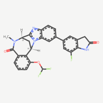 CN1C(=O)c2cccc(OC(F)F)c2[C@H]2C[C@@H]1c1nc3ccc(-c4cc(F)c5c(c4)CC(=O)N5)cc3n12